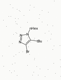 CCCCCCn1nnc(Br)c1C(C)(C)C